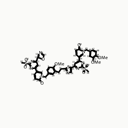 COc1ccc(Cn2cc(-c3cc(-c4cnco4)nc(S(C)(=O)=O)n3)ccc2=O)cc1CCc1ncc(-c2cc(-c3ccc(=O)n(Cc4ccc(OC)c(OC)c4)c3)nc(S(C)(=O)=O)n2)s1